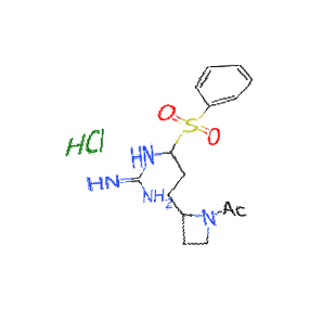 CC(=O)N1CCC1CCC(NC(=N)N)S(=O)(=O)c1ccccc1.Cl